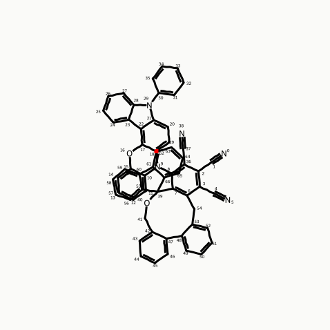 N#Cc1c(C#N)c2c(c(N3c4ccccc4Oc4c3ccc3c4c4ccccc4n3-c3ccccc3)c1C#N)C1(OCc3ccccc3-c3ccccc3C2)c2ccccc2-c2ccccc21